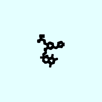 Cc1cc(C)c2c(c1C)OC(C)(CCOc1cc(Cn3ccnc3)ccc1C=CC(=O)O)CC2